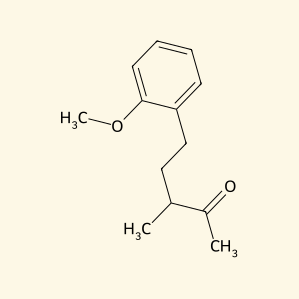 COc1ccccc1CCC(C)C(C)=O